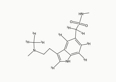 [2H]c1[nH]c2c([2H])c([2H])c(C([2H])([2H])S(=O)(=O)NC)c([2H])c2c1CCN(C)C([2H])([2H])[2H]